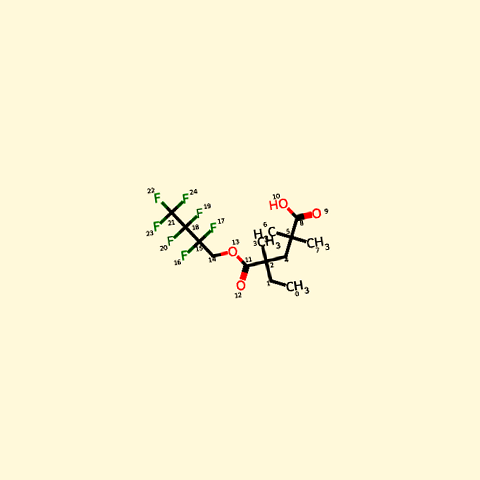 CCC(C)(CC(C)(C)C(=O)O)C(=O)OCC(F)(F)C(F)(F)C(F)(F)F